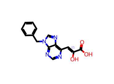 O=C(O)/C(O)=C/c1ncnc2c1ncn2Cc1ccccc1